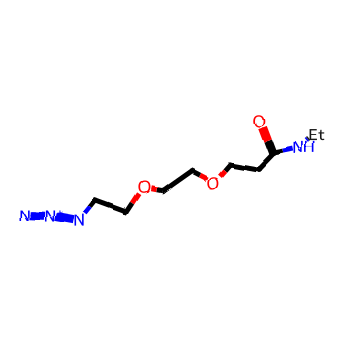 CCNC(=O)CCOCCOCCN=[N+]=[N-]